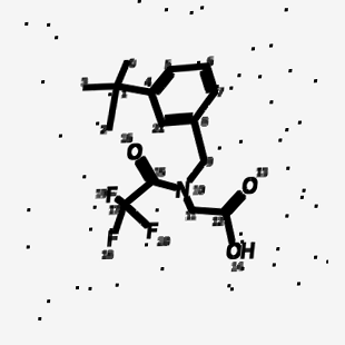 CC(C)(C)c1cccc(CN(CC(=O)O)C(=O)C(F)(F)F)c1